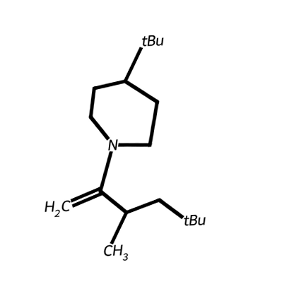 C=C(C(C)CC(C)(C)C)N1CCC(C(C)(C)C)CC1